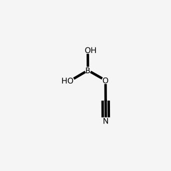 N#COB(O)O